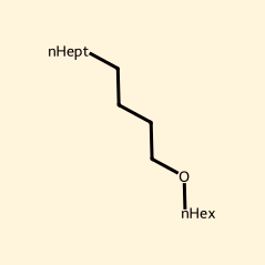 [CH2]CCCCCCCCCCOCCCCC[CH2]